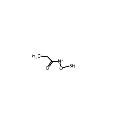 CCC(=O)[N+]OS